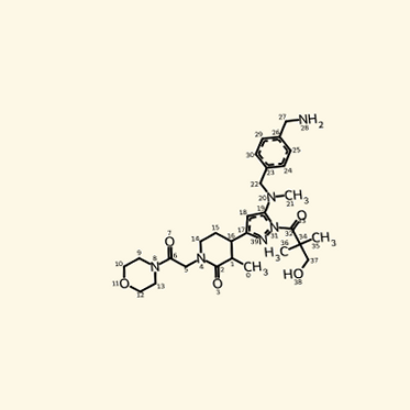 CC1C(=O)N(CC(=O)N2CCOCC2)CCC1c1cc(N(C)Cc2ccc(CN)cc2)n(C(=O)C(C)(C)CO)n1